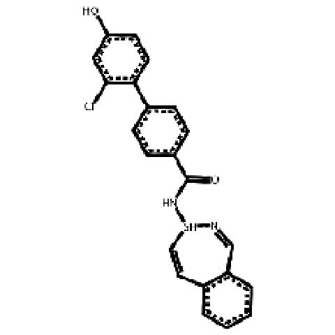 O=C(N[SH]1C=Cc2ccccc2C=N1)c1ccc(-c2ccc(O)cc2Cl)cc1